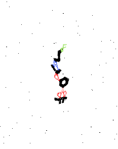 CC1(C)OB(c2cccc(OC3CN(CCCF)C3)c2)OC1(C)C